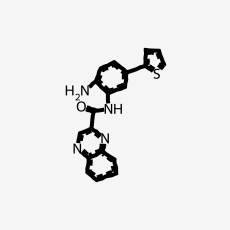 Nc1ccc(-c2cccs2)cc1NC(=O)c1cnc2ccccc2n1